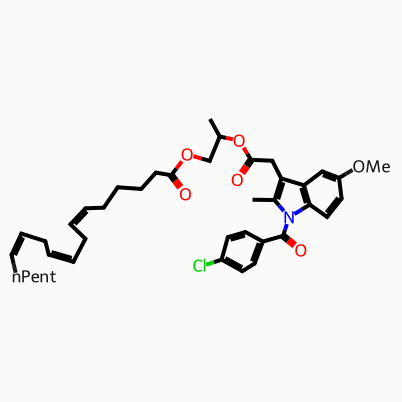 CCCCC/C=C\C/C=C\C/C=C\CCCCC(=O)OCC(C)OC(=O)Cc1c(C)n(C(=O)c2ccc(Cl)cc2)c2ccc(OC)cc12